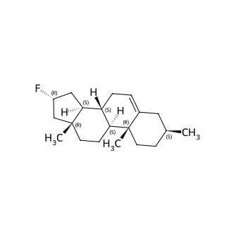 C[C@H]1CC[C@@]2(C)C(=CC[C@H]3[C@@H]4C[C@@H](F)C[C@@]4(C)CC[C@@H]32)C1